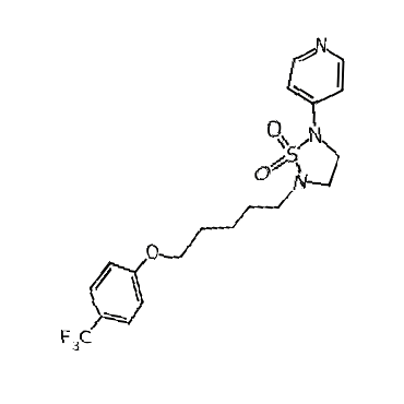 O=S1(=O)N(CCCCCOc2ccc(C(F)(F)F)cc2)CCN1c1ccncc1